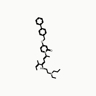 C\C=C(C)/C(=C\C=C(/C)n1ccc(OCc2ccc(-c3ccccc3)cc2)cc1=O)NCCN(CC)CCC